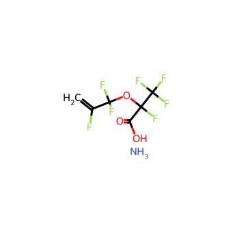 C=C(F)C(F)(F)OC(F)(C(=O)O)C(F)(F)F.N